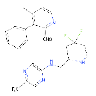 Cc1ccnc(C=O)c1-c1ccccc1.FC1(F)CCNC(CNc2cnc(C(F)(F)F)cn2)C1